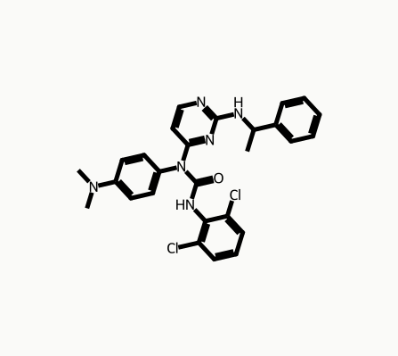 CC(Nc1nccc(N(C(=O)Nc2c(Cl)cccc2Cl)c2ccc(N(C)C)cc2)n1)c1ccccc1